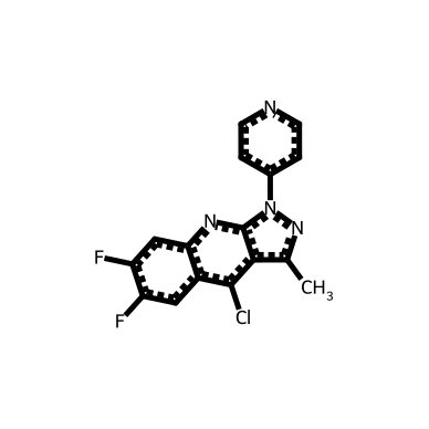 Cc1nn(-c2ccncc2)c2nc3cc(F)c(F)cc3c(Cl)c12